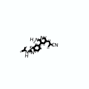 C=C(C)Nc1nc2ccc(-c3cc(CC(C)C#N)cnc3N)cc2s1